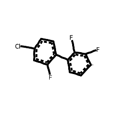 Fc1[c]ccc(-c2ccc(Cl)cc2F)c1F